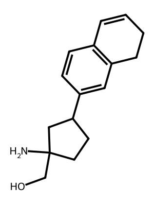 NC1(CO)CCC(c2ccc3c(c2)CCC=C3)C1